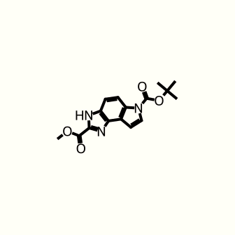 COC(=O)c1nc2c(ccc3c2ccn3C(=O)OC(C)(C)C)[nH]1